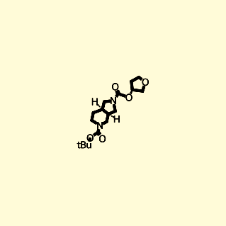 CC(C)(C)OC(=O)N1CC[C@H]2CN(C(=O)O[C@H]3CCOC3)C[C@H]2C1